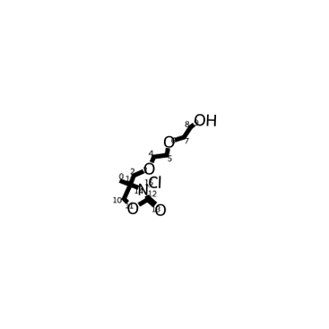 CC1(COCCOCCO)COC(=O)N1Cl